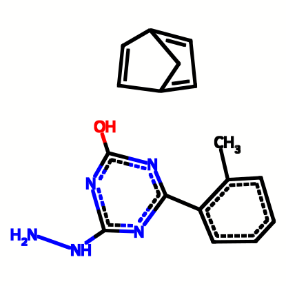 C1=CC2=CC=C1C2.Cc1ccccc1-c1nc(O)nc(NN)n1